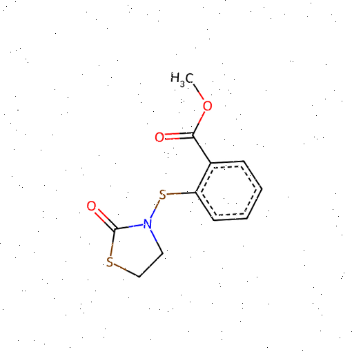 COC(=O)c1ccccc1SN1CCSC1=O